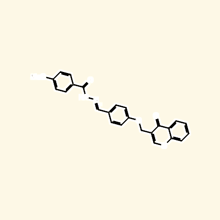 COc1ccc(C(=O)N/N=C/c2ccc(OCc3coc4ccccc4c3=O)cc2)cc1